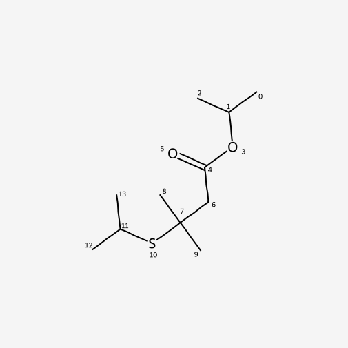 CC(C)OC(=O)CC(C)(C)SC(C)C